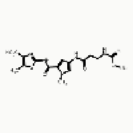 Cc1sc(NC(=O)c2cc(NC(=O)CCNC(=O)OC(C)(C)C)cn2C)nc1C(=O)O